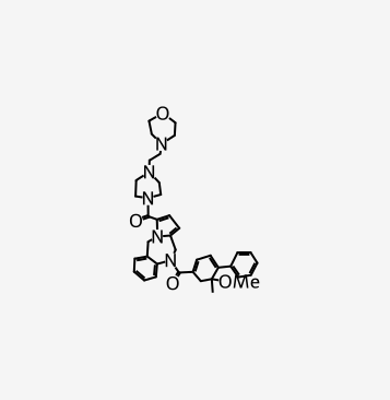 COC1(C)CC(C(=O)N2Cc3ccc(C(=O)N4CCN(CCN5CCOCC5)CC4)n3Cc3ccccc32)=CC=C1c1ccccc1